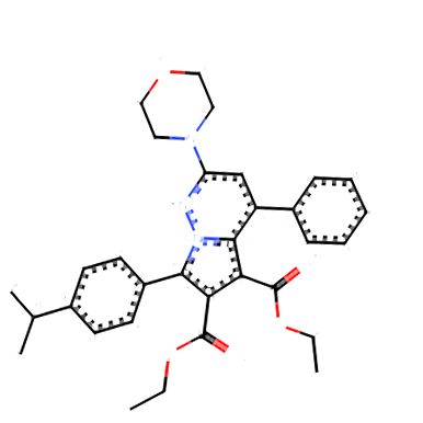 CCOC(=O)c1c(C(=O)OCC)c2c(-c3ccccc3)cc(N3CCOCC3)nn2c1-c1ccc(C(C)C)cc1